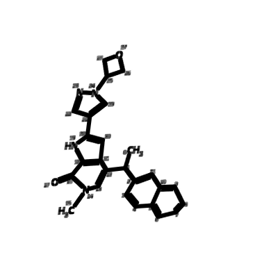 CC(c1ccc2ccccc2c1)c1cn(C)c(=O)c2[nH]c(-c3cnn(C4COC4)c3)cc12